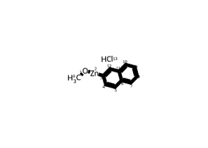 C[O][Zn][c]1ccc2ccccc2c1.Cl